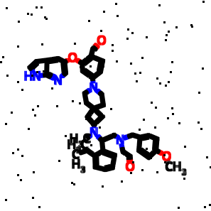 COc1ccc(CN(CC=O)CC(c2ccccc2C(C)C)N(C)C2CC3(CCN(c4ccc(C=O)c(Oc5cnc6[nH]ccc6c5)c4)CC3)C2)cc1